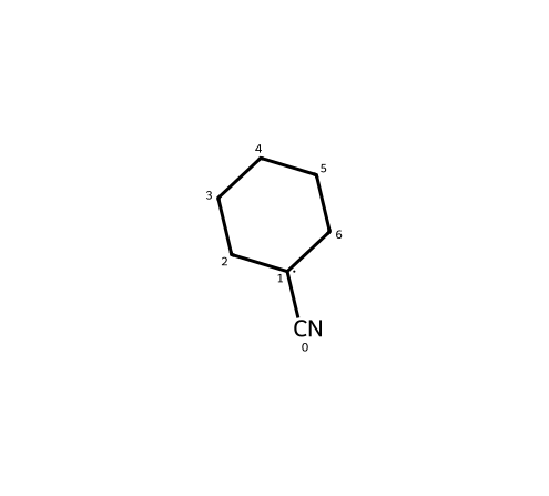 N#C[C]1CCCCC1